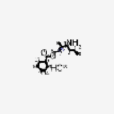 C=CC[C@H](N)/C(C)=C/COC(=O)c1ccccc1.Cl